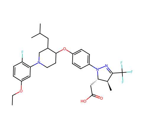 CCOc1ccc(F)c(N2CCC(Oc3ccc(N4N=C(C(F)(F)F)[C@@H](C)[C@@H]4CC(=O)O)cc3)C(CC(C)C)C2)c1